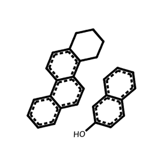 Oc1ccc2ccccc2c1.c1ccc2c(c1)ccc1c3c(ccc12)CCCC3